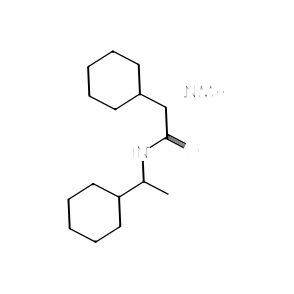 CN[C@H](C(=O)NC(C)C1CCCCC1)C1CCCCC1